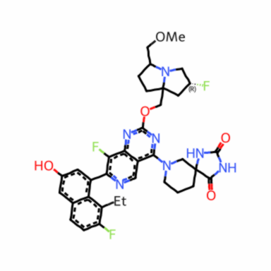 CCc1c(F)ccc2cc(O)cc(-c3ncc4c(N5CCCC6(C5)NC(=O)NC6=O)nc(OCC56CCC(COC)N5C[C@H](F)C6)nc4c3F)c12